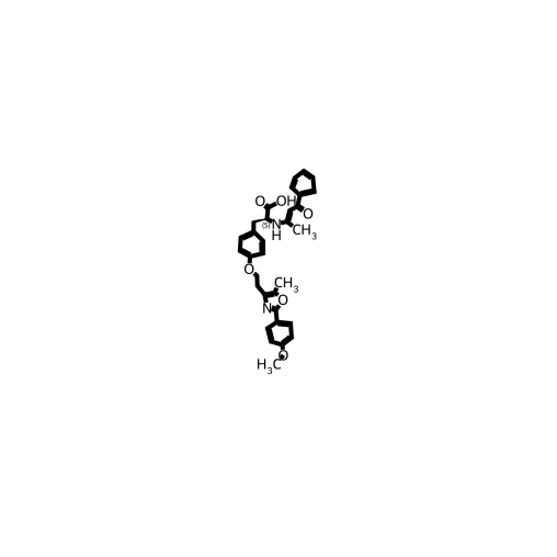 COc1ccc(-c2nc(CCOc3ccc(C[C@H](NC(C)=CC(=O)c4ccccc4)C(=O)O)cc3)c(C)o2)cc1